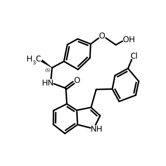 C[C@H](NC(=O)c1cccc2[nH]cc(Cc3cccc(Cl)c3)c12)c1ccc(OCO)cc1